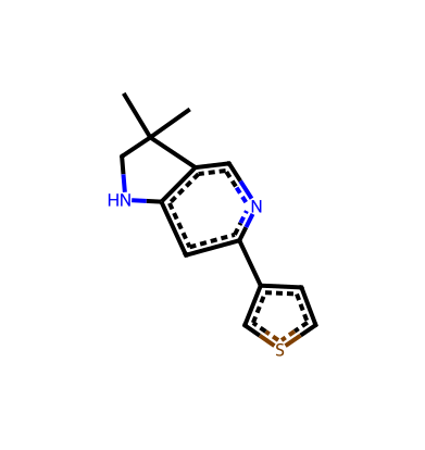 CC1(C)CNc2cc(-c3ccsc3)ncc21